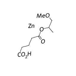 COCC(C)OC(=O)CCCC(=O)O.[Zn]